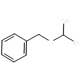 CC[C](N)NCc1ccccc1